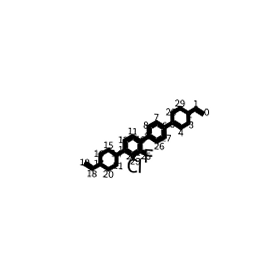 C=CC1CC=C(c2ccc(-c3ccc(C4CCC(C=C)CC4)c(Cl)c3F)cc2)CC1